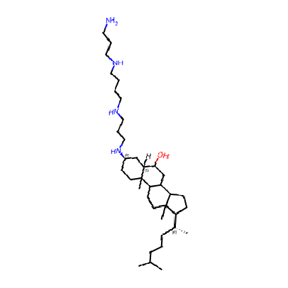 CC(C)CCC[C@@H](C)C1CCC2C3CC(O)[C@H]4C[C@H](NCCCNCCCCNCCCN)CCC4(C)C3CCC21C